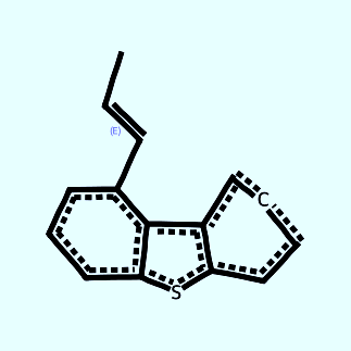 C/C=C/c1cccc2sc3ccccc3c12